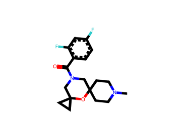 CN1CCC2(CC1)CN(C(=O)c1ccc(F)cc1F)CC1(CC1)O2